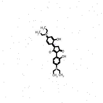 CCN(CC)c1ccc(C2=C([O-])/C(=C3\C=CC(=[N+](CC)CC)C=C3O)CC2=O)c(O)c1